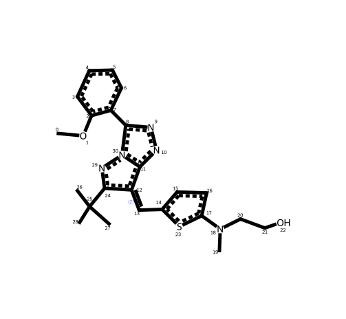 COc1ccccc1-c1nnc2/c(=C\c3ccc(N(C)CCO)s3)c(C(C)(C)C)nn12